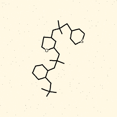 CC(C)(C)CC1CCCCC1CC(C)(C)CC1CC(CC(C)(C)CC2CCSCC2)CCO1